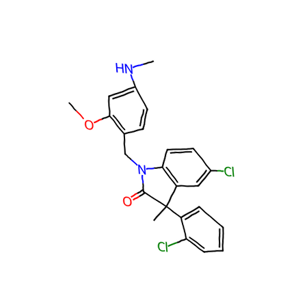 CNc1ccc(CN2C(=O)C(C)(c3ccccc3Cl)c3cc(Cl)ccc32)c(OC)c1